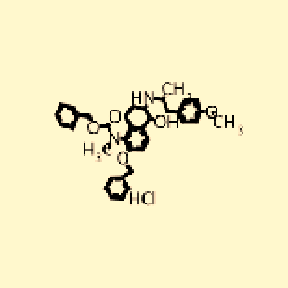 COc1ccc(CC(C)NC2CCc3c(ccc(OCc4ccccc4)c3N(C)C(=O)OCc3ccccc3)C2O)cc1.Cl